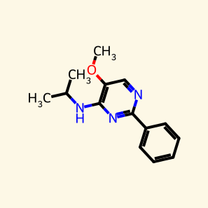 COc1cnc(-c2ccccc2)nc1NC(C)C